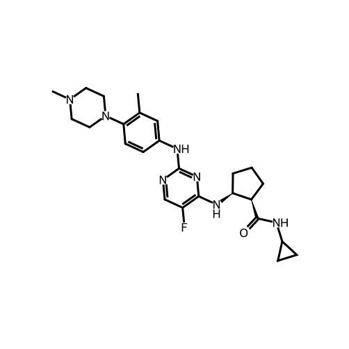 Cc1cc(Nc2ncc(F)c(N[C@H]3CCC[C@H]3C(=O)NC3CC3)n2)ccc1N1CCN(C)CC1